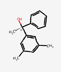 Cc1cc(C)cc([C@@](C)(O)c2ccccc2)c1